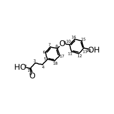 O=C(O)CCc1ccc(Oc2ccc(O)cc2)cc1